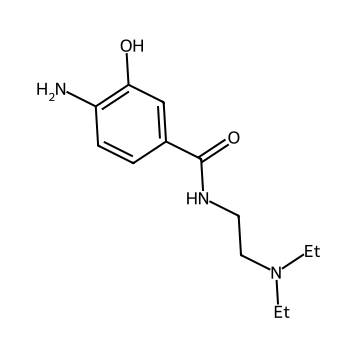 CCN(CC)CCNC(=O)c1ccc(N)c(O)c1